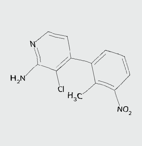 Cc1c(-c2ccnc(N)c2Cl)cccc1[N+](=O)[O-]